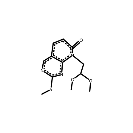 COC(Cn1c(=O)ccc2cnc(SC)nc21)OC